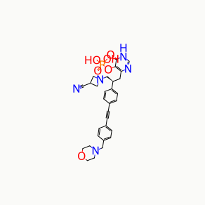 N#CC1CN(C[C@@H](Cc2nc[nH]c(=O)c2OP(=O)(O)O)c2ccc(C#Cc3ccc(CN4CCOCC4)cc3)cc2)C1